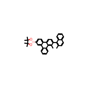 Cc1ccc2ccccc2c1-c1ccc2c3ccc(B4OC(C)(C)C(C)(C)O4)cc3c3ccccc3c2c1C